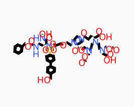 O=COCN(CCN(CCN(COC=O)CC(=O)O)[C@H](CCC(=O)N1CCN(CCOCCON([C@H](CCNC(=O)OCc2ccccc2)C(=O)NO)S(=O)(=O)c2ccc(-c3ccc(CO)cc3)cc2)CC1)C(=O)O)COC=O